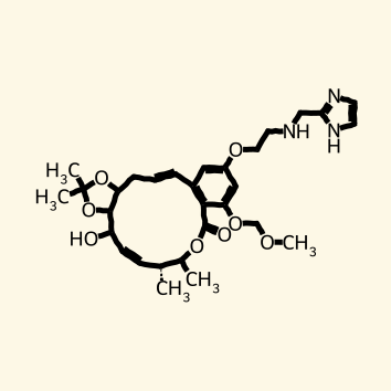 COCOc1cc(OCCNCc2ncc[nH]2)cc2c1C(=O)OC(C)[C@H](C)/C=C\C(O)C1OC(C)(C)OC1C/C=C/2